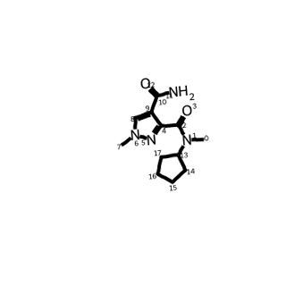 CN(C(=O)c1nn(C)cc1C(N)=O)C1CCCC1